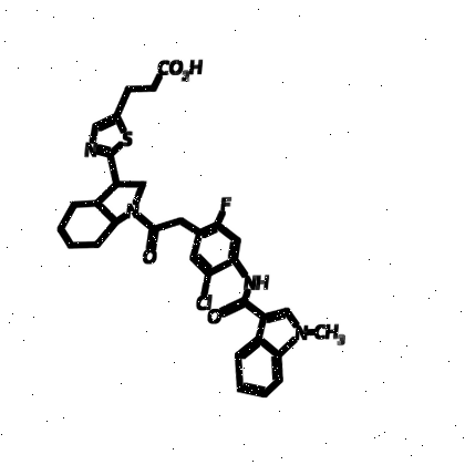 Cn1cc(C(=O)Nc2cc(F)c(CC(=O)N3CC(c4ncc(CCC(=O)O)s4)C4CCCCC43)cc2Cl)c2ccccc21